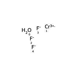 O.[Cr+3].[F-].[F-].[F-]